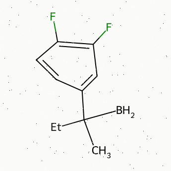 BC(C)(CC)c1ccc(F)c(F)c1